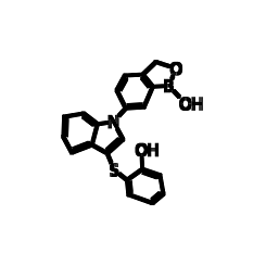 OB1OCc2ccc(-n3cc(Sc4ccccc4O)c4ccccc43)cc21